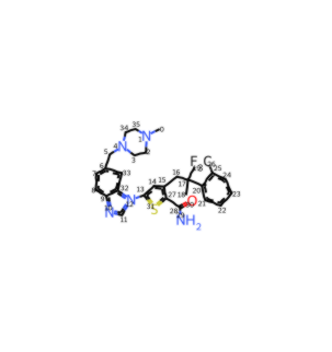 CN1CCN(Cc2ccc3ncn(-c4cc(CC(C)(C)c5ccccc5C(F)(F)F)c(C(N)=O)s4)c3c2)CC1